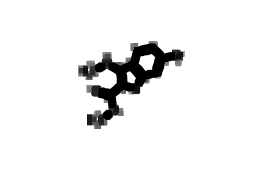 COC(=O)c1sc2cc(Br)ccc2c1OC